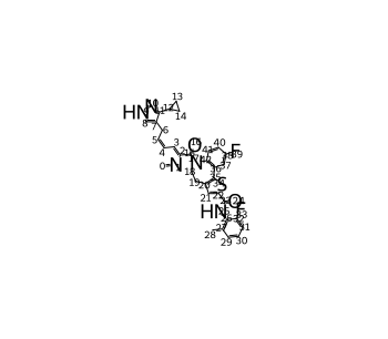 C=N/C(=C\C=C/Cc1c[nH]nc1C1CC1)C(=O)N1CCc2cc(C(=O)Nc3c(C)cccc3F)sc2-c2cc(F)ccc21